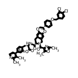 COC(=O)[C@H](Cc1ccc(-c2ccnc(C)c2C)cc1)NC(=O)[C@@H]1Cc2cc3c(cc2CN1C(=O)c1nc(C)oc1C)O[C@@H](c1ccc(OCc2ccc(Cl)c(Cl)c2)cc1)CO3